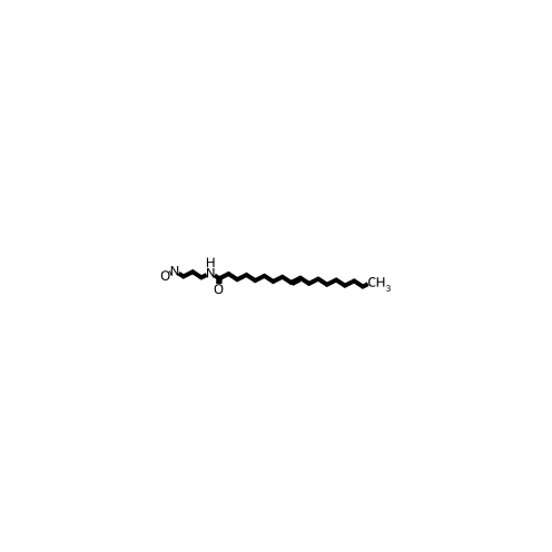 CCCCCCCCC=CCCCCCCCC(=O)NCCCN=O